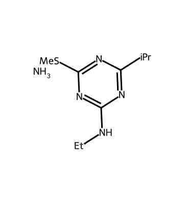 CCNc1nc(SC)nc(C(C)C)n1.N